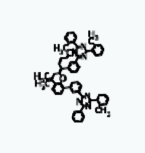 C=C/C=C\C(=C1/CC(C)(C)c2cccc(-c3cccc(-c4nc(-c5ccccc5)nc(-c5ccccc5C)n4)c3)c2O1)c1cccc(-c2nc(-c3ccccc3C)nc(-c3ccccc3C)n2)c1